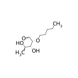 CCCCCO[C@@H](C=O)[C@H](O)[C@@H](C)O